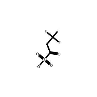 [O]S(=O)(=O)C(=O)CC(F)(F)F